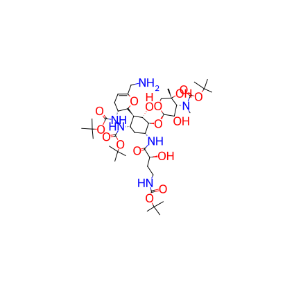 CN(C(=O)OC(C)(C)C)[C@@H]1[C@@H](O)[C@@H](O[C@@H]2[C@@H](O)[C@H](C3OC(CN)=CC[C@H]3NC(=O)OC(C)(C)C)[C@@H](NC(=O)OC(C)(C)C)C[C@H]2NC(=O)[C@@H](O)CCNC(=O)OC(C)(C)C)OC[C@]1(C)O